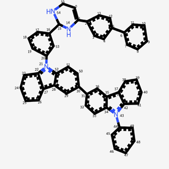 C1=C(c2ccc(-c3ccccc3)cc2)NC(c2cccc(-n3c4ccccc4c4cc(-c5ccc6c(c5)c5ccccc5n6-c5ccccc5)ccc43)c2)NC1